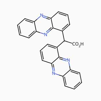 O=C(O)[C](c1cccc2nc3ccccc3nc12)c1cccc2nc3ccccc3nc12